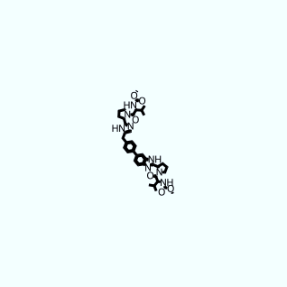 COC(=O)NC(C(=O)N1CCCC1c1ncc(Cc2ccc(-c3ccc4nc(C5CCCN5C(=O)C(NC(=O)OC)C(C)C)[nH]c4c3)cc2)[nH]1)C(C)C